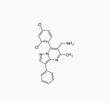 Cc1nc2c(-c3ccccc3)cnn2c(-c2ccc(Cl)cc2Cl)c1CN